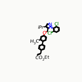 CCOC(=O)/C=C/c1ccc(-c2ccc(OCc3c(C(C)C)cnn3-c3c(Cl)cccc3Cl)cc2C)cc1